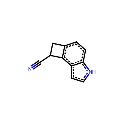 N#CC1Cc2ccc3[nH]ccc3c21